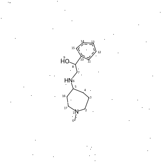 CN1CCCC(NCC(O)c2ccccc2)CC1